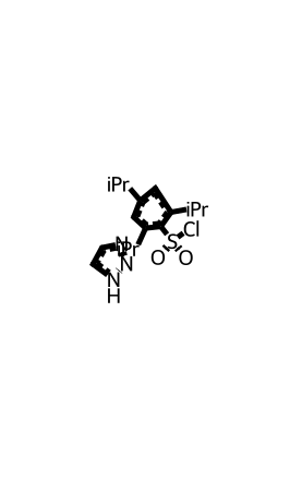 CC(C)c1cc(C(C)C)c(S(=O)(=O)Cl)c(C(C)C)c1.c1c[nH]nn1